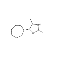 CC1NC(C)N(C2CCCCCC2)O1